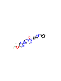 C[C@@H]1CN(c2ncc(OC(F)F)cn2)C[C@H](C)N1C(=O)NC1CC2(C1)CN(Cc1ccccc1)C2